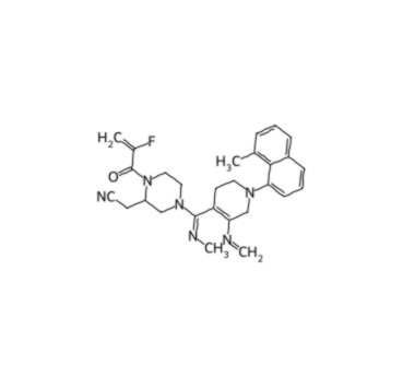 C=NC1=C(/C(=N\C)N2CCN(C(=O)C(=C)F)C(CC#N)C2)CCN(c2cccc3cccc(C)c23)C1